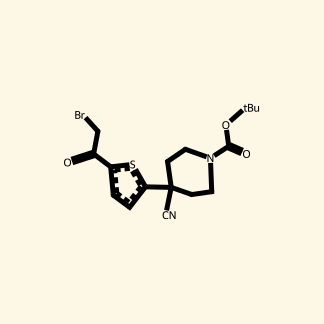 CC(C)(C)OC(=O)N1CCC(C#N)(c2ccc(C(=O)CBr)s2)CC1